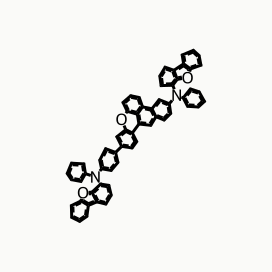 c1ccc(N(c2ccc(-c3ccc4c(c3)Oc3cccc5c3c-4cc3ccc(N(c4ccccc4)c4cccc6c4oc4ccccc46)cc35)cc2)c2cccc3c2oc2ccccc23)cc1